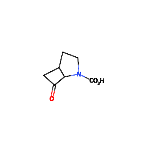 O=C1CC2CCN(C(=O)O)C12